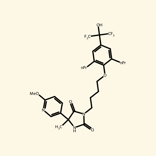 CCCc1cc(C(O)(C(F)(F)F)C(F)(F)F)cc(CCC)c1OCCCCN1C(=O)NC(C)(c2ccc(OC)nc2)C1=O